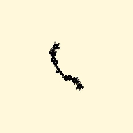 C=CC(CCCOc1ccc2cc(-c3cc(F)c(C(F)(F)Oc4cc(F)c(F)c(F)c4)c(F)c3)ccc2c1)CCCOc1ccc2cc(-c3cc(F)c(C(F)(F)Oc4cc(F)c(F)c(F)c4)c(F)c3)ccc2c1